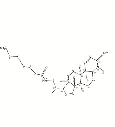 CCCCCCCCCCCCCCCC(=O)NCC(C)[C@H]1CC[C@H]2[C@@H]3CCC4N(C)C(=O)C=C[C@]4(C)[C@H]3CC[C@]12C